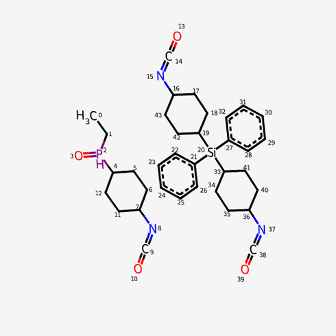 CC[PH](=O)C1CCC(N=C=O)CC1.O=C=NC1CCC([Si](c2ccccc2)(c2ccccc2)C2CCC(N=C=O)CC2)CC1